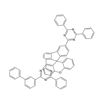 c1ccc(-c2cccc(-c3nc(-c4ccccc4)nc(-c4cccc5c4C4(c6ccccc6Oc6ccccc64)c4ccc(-c6nc(-c7ccccc7)nc(-c7ccccc7)n6)cc4-5)n3)c2)cc1